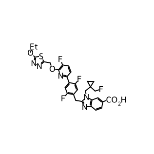 CCOc1nnc(COc2nc(-c3cc(F)c(Cc4nc5ccc(C(=O)O)cc5n4CC4(CF)CC4)cc3F)ccc2F)s1